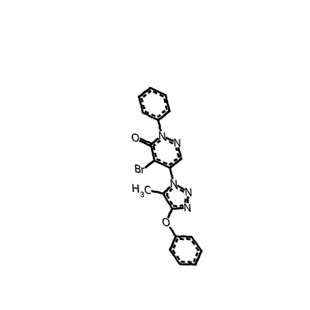 Cc1c(Oc2ccccc2)nnn1-c1cnn(-c2ccccc2)c(=O)c1Br